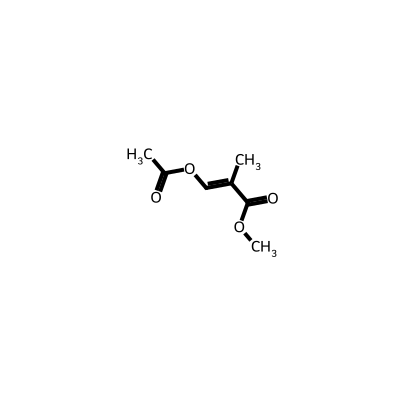 COC(=O)C(C)=COC(C)=O